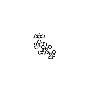 c1ccc(N2c3cc(N4c5ccccc5Oc5ccccc54)cc4c3B(c3ccccc3O4)c3cc4c5c(c32)CCCN5c2cc(N3c5ccccc5Oc5ccccc53)cc3c2B4c2ccccc2O3)cc1